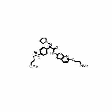 CNCCOc1ccc2nc(NC(=O)/C(=N/N3CCCC3)c3ccc(S(=O)(=O)CCCOC)cc3)sc2n1